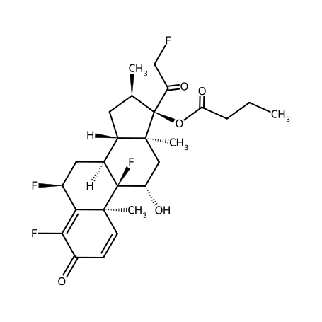 CCCC(=O)O[C@]1(C(=O)CF)[C@H](C)C[C@H]2[C@@H]3C[C@H](F)C4=C(F)C(=O)C=C[C@]4(C)[C@@]3(F)[C@@H](O)C[C@@]21C